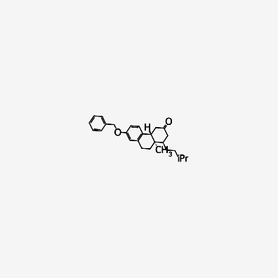 CC(C)CC[C@@H]1CC(=O)C[C@H]2c3ccc(OCc4ccccc4)cc3CC[C@]12C